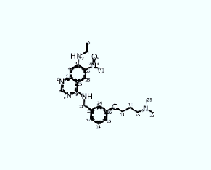 CCNc1cc2ncnc(NCc3cccc(OCCCN(C)C)c3)c2cc1[N+](=O)[O-]